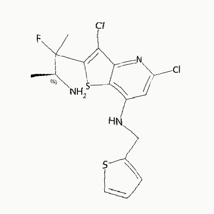 C[C@H](N)C(C)(F)c1sc2c(NCc3cccs3)cc(Cl)nc2c1Cl